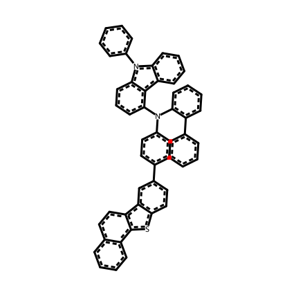 c1ccc(-c2ccccc2N(c2ccc(-c3ccc4sc5c6ccccc6ccc5c4c3)cc2)c2cccc3c2c2ccccc2n3-c2ccccc2)cc1